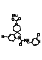 CC(C)(C)OC(=O)N1CCC2(CC1)CN(C(=O)NCc1ccnc(Cl)c1)c1ccc(Br)cc12